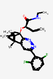 CCNC(=O)C(CC)O[C@@]12CC[C@@H](c3cc(-c4c(F)cccc4F)nnc31)C2(C)C